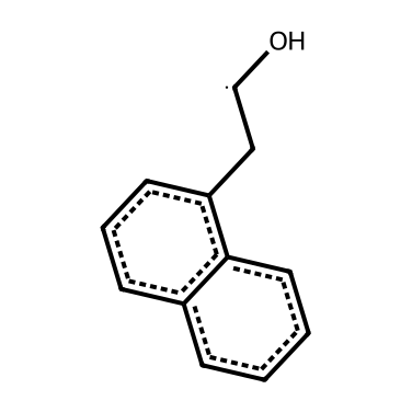 O[CH]Cc1cccc2ccccc12